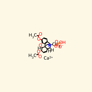 CC(=O)Oc1ccc2c3c1O[C@H]1[C@@H](OC(C)=O)C=C[C@H]4[C@@H](C2)N(C)CC[C@@]341.O=P([O-])([O-])O.[Ca+2]